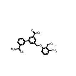 CCc1c(N)cccc1OCc1cc(C(=O)O)cc(-c2cccc(C(=N)N)c2)c1